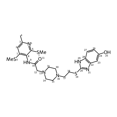 CSc1cc(C)nc(SC)c1NC(=O)CN1CCN(CCSc2nc3cc(O)ccc3[nH]2)CC1